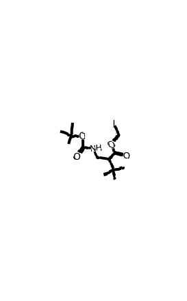 CC(C)(C)OC(=O)NCC(C(=O)OCI)C(C)(C)C